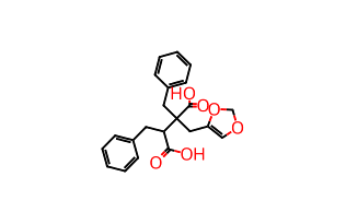 O=C(O)C(Cc1ccccc1)C(CC1=COCO1)(Cc1ccccc1)C(=O)O